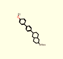 CCCCCCC1CCC2CC(c3ccc(-c4ccc(OCC)cc4)cc3)CCC2C1